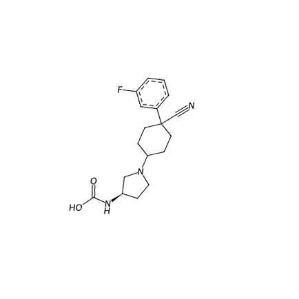 N#CC1(c2cccc(F)c2)CCC(N2CC[C@@H](NC(=O)O)C2)CC1